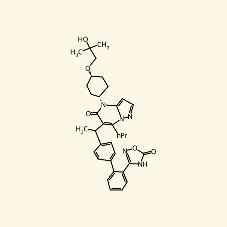 CCCc1c(C(C)c2ccc(-c3ccccc3-c3noc(=O)[nH]3)cc2)c(=O)n([C@H]2CC[C@H](OCC(C)(C)O)CC2)c2ccnn12